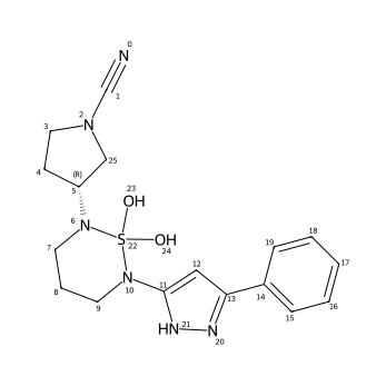 N#CN1CC[C@@H](N2CCCN(c3cc(-c4ccccc4)n[nH]3)S2(O)O)C1